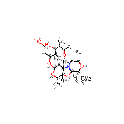 C=C(C(=O)C[C@@H](C)CC)/C(O)=C(\C)[C@H](CCO)O[C@H]1C[C@H]2[C@H](O[C@@H]3[C@@H](OC)OCCN32)[C@H](C)O1